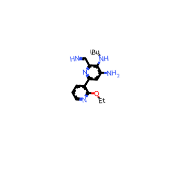 CCOc1ncccc1-c1cc(N)c(NC(C)CC)c(C=N)n1